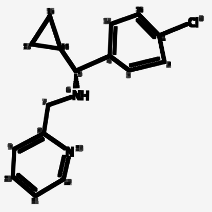 Clc1ccc([C@H](NCc2ccccn2)C2CC2)cc1